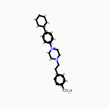 O=C(O)c1ccc(CCN2CCN(c3ccc(C4CCCCC4)cc3)CC2)cc1